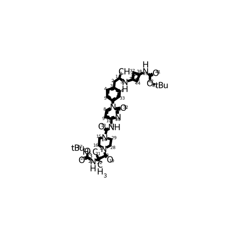 CC(Cc1ccc(-n2ccc(NC(=O)N3CCN(C(=O)C(C)(C)NC(=O)OC(C)(C)C)CC3)nc2=O)cc1)NC12CC(NC(=O)OC(C)(C)C)(C1)C2